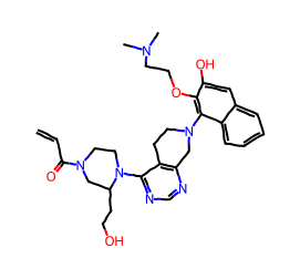 C=CC(=O)N1CCN(c2ncnc3c2CCN(c2c(OCCN(C)C)c(O)cc4ccccc24)C3)C(CCO)C1